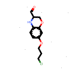 O=CC1COc2cc(OCCCCl)ccc2N1